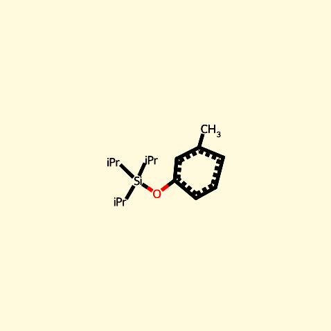 Cc1cccc(O[Si](C(C)C)(C(C)C)C(C)C)c1